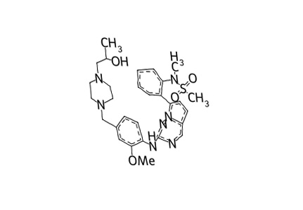 COc1cc(CN2CCN(CC(C)O)CC2)ccc1Nc1ncc2ccc(-c3ccccc3N(C)S(C)(=O)=O)n2n1